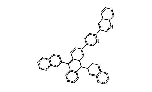 C1=CC2C=C(c3ccc(C4=CC5C(=C(c6ccc7ccccc7c6)c6ccccc6C5C5C=c6ccccc6=CC5)C=C4)cn3)C=NC2C=C1